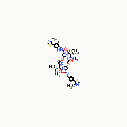 Cc1cc([C@H](C(=O)N2C[C@H](OCc3nc([C@H](C(=O)N4C[C@H](O)C[C@H]4C(=O)NCc4ccc(-c5scnc5C)cc4)C(C)C)no3)C[C@H]2C(=O)NCc2ccc(-c3scnc3C)cc2)C(C)C)n[nH]1